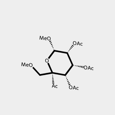 COC[C@@]1(C(C)=O)O[C@H](OC)[C@H](OC(C)=O)[C@H](OC(C)=O)[C@@H]1OC(C)=O